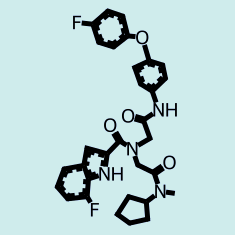 CN(C(=O)CN(CC(=O)Nc1ccc(Oc2ccc(F)cc2)cc1)C(=O)c1cc2cccc(F)c2[nH]1)C1CCCC1